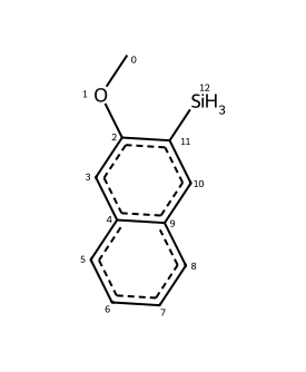 COc1cc2ccccc2cc1[SiH3]